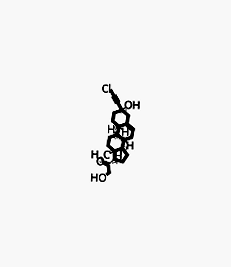 C[C@]12CC[C@H]3[C@@H](CC=C4C[C@](O)(C#CCl)CC[C@@H]43)[C@@H]1CC[C@@H]2C(=O)CO